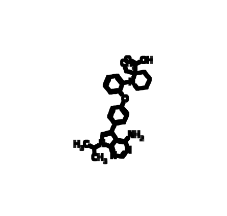 CCC1(C(=O)O)CCCCN1c1ccccc1Oc1ccc(-c2cn(C(C)C)c3ncnc(N)c23)cc1